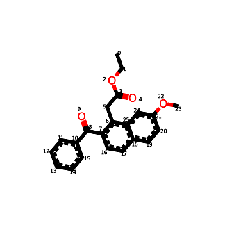 CCOC(=O)Cc1c(C(=O)c2ccccc2)ccc2ccc(OC)cc12